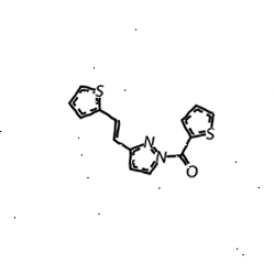 O=C(c1cccs1)n1ccc(C=Cc2cccs2)n1